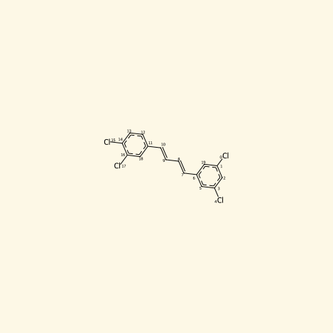 Clc1cc(Cl)cc(C=CC=Cc2ccc(Cl)c(Cl)c2)c1